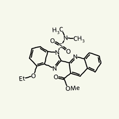 CCOc1cccc2c1nc(-c1nc3ccccc3cc1C(=O)OC)n2S(=O)(=O)N(C)C